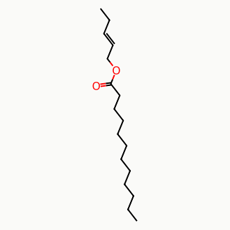 CCC=CCOC(=O)CCCCCCCCCCC